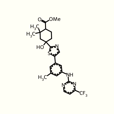 COC(=O)C1CCC(O)(c2ncc(-c3cc(C)cc(Nc4nccc(C(F)(F)F)n4)c3)s2)CC1(C)C